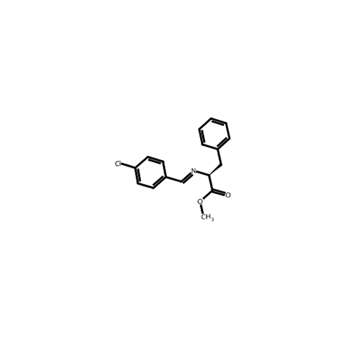 COC(=O)[C@H](Cc1ccccc1)N=Cc1ccc(Cl)cc1